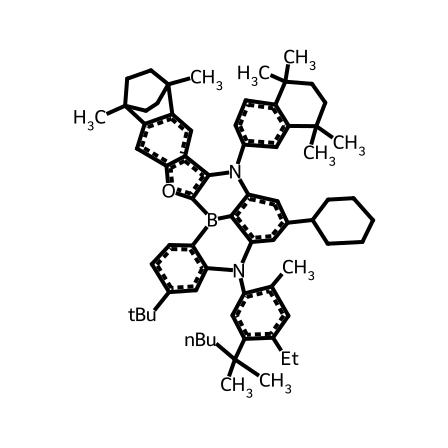 CCCCC(C)(C)c1cc(N2c3cc(C(C)(C)C)ccc3B3c4oc5cc6c(cc5c4N(c4ccc5c(c4)C(C)(C)CCC5(C)C)c4cc(C5CCCCC5)cc2c43)C2(C)CCC6(C)CC2)c(C)cc1CC